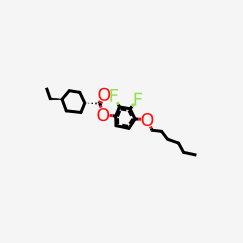 CCCCCCOc1ccc(OC(=O)[C@H]2CC[C@H](CC)CC2)c(F)c1F